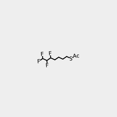 CC(=O)SCCCCC(F)C(F)C(F)F